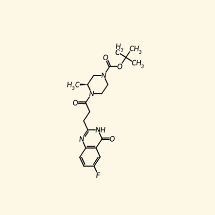 C[C@H]1CN(C(=O)OC(C)(C)C)CCN1C(=O)CCc1nc2ccc(F)cc2c(=O)[nH]1